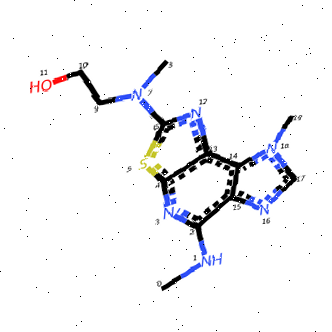 CNc1nc2sc(N(C)CCO)nc2c2c1ncn2C